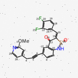 COc1cc(CC#Cc2ccc3c(c2)C(=O)/C(=C\c2ccc(F)c(F)c2)[S+]([O-])N3)ccn1